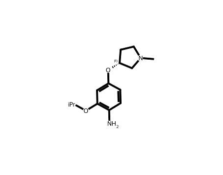 CC(C)Oc1cc(O[C@@H]2CCN(C)C2)ccc1N